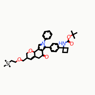 CC(C)(C)OC(=O)NC1(c2ccc(-c3c4c(cn3-c3ccccc3)C3OCC(COCC[Si](C)(C)C)C=C3CC4=O)cc2)CCC1